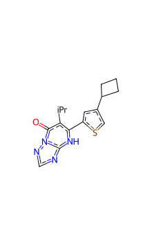 CC(C)c1c(-c2cc(C3CCC3)cs2)[nH]c2ncnn2c1=O